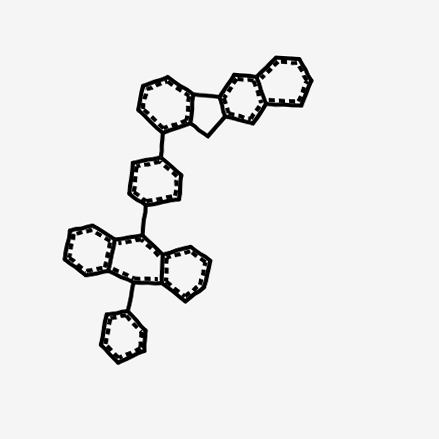 c1ccc(-c2c3ccccc3c(-c3ccc(-c4cccc5c4Cc4cc6ccccc6cc4-5)cc3)c3ccccc23)cc1